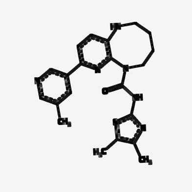 Cc1cncc(-c2ccc3c(n2)N(C(=O)Nc2nc(C)c(C)s2)CCCCN3)c1